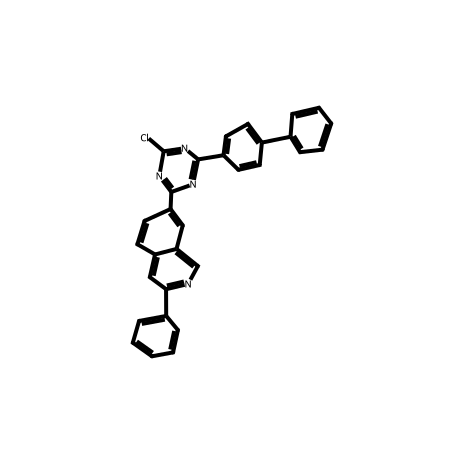 Clc1nc(-c2ccc(-c3ccccc3)cc2)nc(-c2ccc3cc(-c4ccccc4)ncc3c2)n1